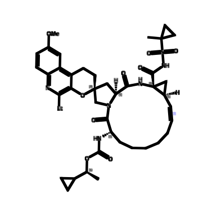 CCc1nc2ccc(OC)cc2c2c1O[C@]1(CC2)C[C@H]2C(=O)N[C@]3(C(=O)NS(=O)(=O)C4(C)CC4)C[C@H]3/C=C\CCCCC[C@H](NC(=O)O[C@@H](C)C3CC3)C(=O)N2C1